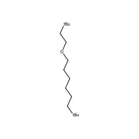 CC(C)(C)CCCCCCOCCC(C)(C)C